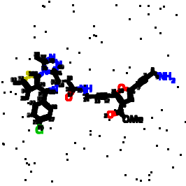 COC(=O)c1cc(C#CCN)oc1C#CCNC(=O)C[C@@H]1N=C(c2ccc(Cl)cc2)c2c(sc(C)c2C)-n2c(C)nnc21